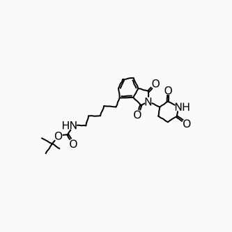 CC(C)(C)OC(=O)NCCCCCc1cccc2c1C(=O)N(C1CCC(=O)NC1=O)C2=O